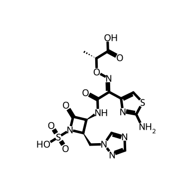 C[C@@H](O/N=C(\C(=O)N[C@@H]1C(=O)N(S(=O)(=O)O)[C@@H]1Cn1cncn1)c1csc(N)n1)C(=O)O